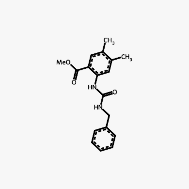 COC(=O)c1cc(C)c(C)cc1NC(=O)NCc1ccccc1